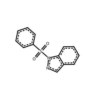 O=S(=O)(c1ccccc1)n1ncc2[c]cccc21